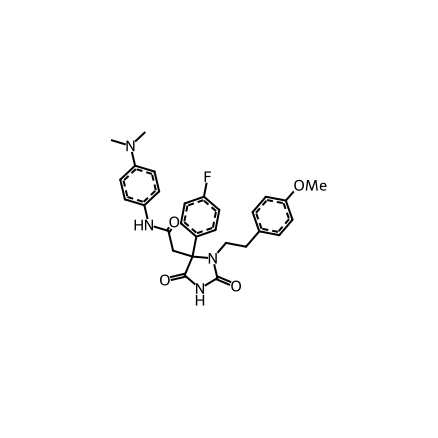 COc1ccc(CCN2C(=O)NC(=O)C2(CC(=O)Nc2ccc(N(C)C)cc2)c2ccc(F)cc2)cc1